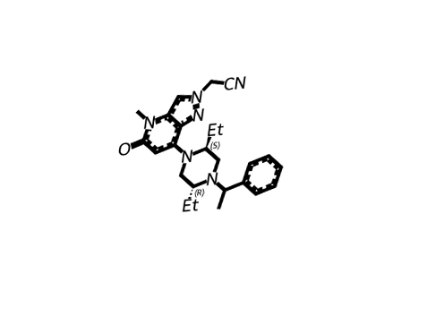 CC[C@H]1CN(C(C)c2ccccc2)[C@H](CC)CN1c1cc(=O)n(C)c2cn(CC#N)nc12